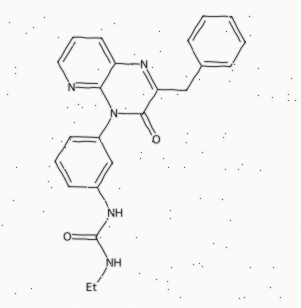 CCNC(=O)Nc1cccc(-n2c(=O)c(Cc3ccccc3)nc3cccnc32)c1